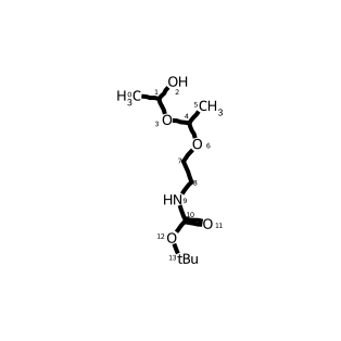 CC(O)OC(C)OCCNC(=O)OC(C)(C)C